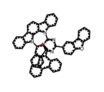 c1ccc(-c2nc(-c3ccc4oc5ccccc5c4c3)nc(-n3c4ccccc4c4ccc5c6ccccc6n(-c6ccc7c8ccccc8c8ccccc8c7c6)c5c43)n2)cc1